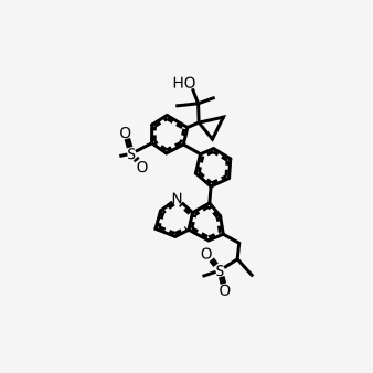 CC(Cc1cc(-c2cccc(-c3cc(S(C)(=O)=O)ccc3C3(C(C)(C)O)CC3)c2)c2ncccc2c1)S(C)(=O)=O